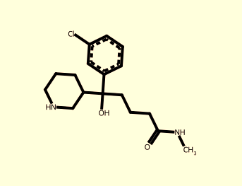 CNC(=O)CCCC(O)(c1cccc(Cl)c1)C1CCCNC1